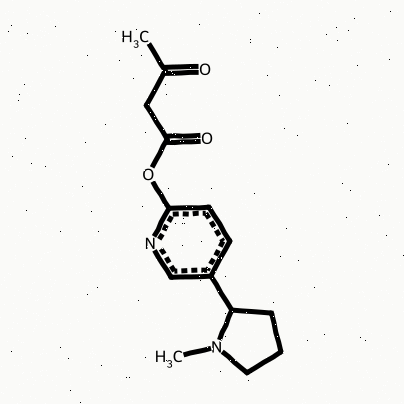 CC(=O)CC(=O)Oc1ccc(C2CCCN2C)cn1